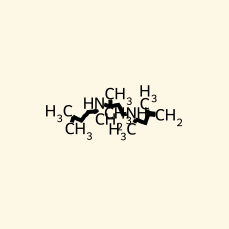 C=C(C)CC(C)NCCC(C)(C)NC(=C)CCC(C)C